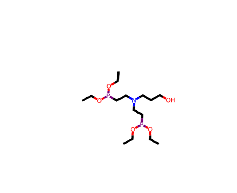 CCOP(CCN(CCCO)CCP(OCC)OCC)OCC